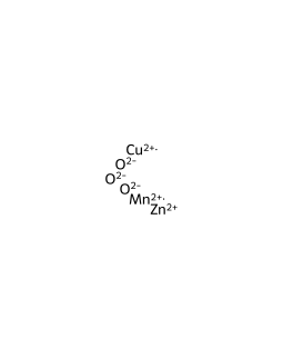 [Cu+2].[Mn+2].[O-2].[O-2].[O-2].[Zn+2]